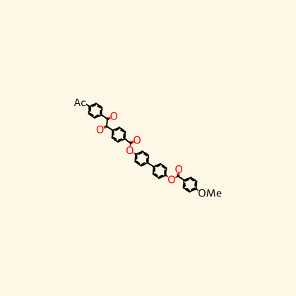 COc1ccc(C(=O)Oc2ccc(-c3ccc(OC(=O)c4ccc(C(=O)C(=O)c5ccc(C(C)=O)cc5)cc4)cc3)cc2)cc1